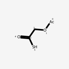 CC(=O)OCC(=O)S